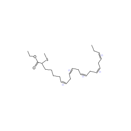 CC/C=C\C/C=C\C/C=C\C/C=C\C/C=C\CCCCC(SC)C(=O)OCC